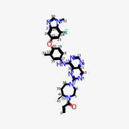 C=CC(=O)N1CCN(c2ncc3ncnc(Nc4ccc(Oc5cc(F)c6c(c5)ncn6C)c(C)c4)c3n2)CC[C@@H]1C